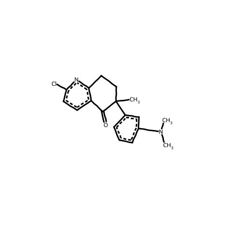 CN(C)c1cccc(C2(C)CCc3nc(Cl)ccc3C2=O)c1